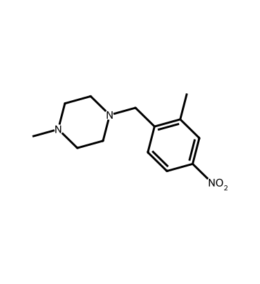 Cc1cc([N+](=O)[O-])ccc1CN1CCN(C)CC1